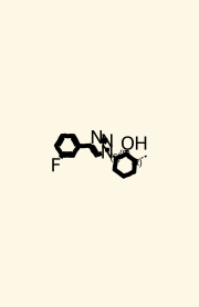 C[C@@H]1CCC[C@H](n2cc(-c3cccc(F)c3)nn2)[C@H]1O